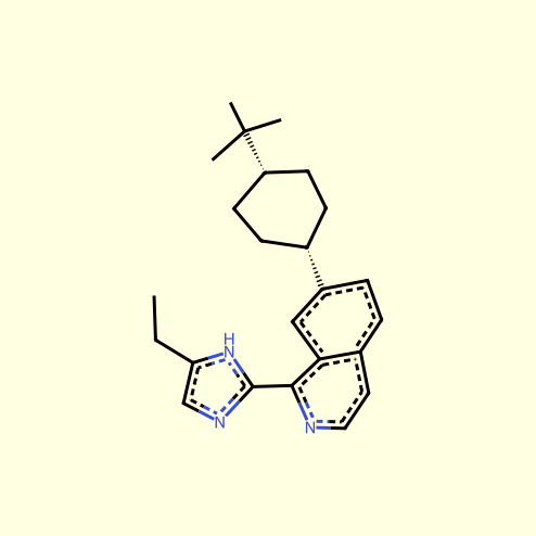 CCc1cnc(-c2nccc3ccc([C@H]4CC[C@@H](C(C)(C)C)CC4)cc23)[nH]1